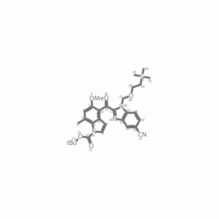 COc1cc(C)c2c(ccn2C(=O)OC(C)(C)C)c1C(=O)c1nc2cc(C#N)ccc2n1COCC[Si](C)(C)C